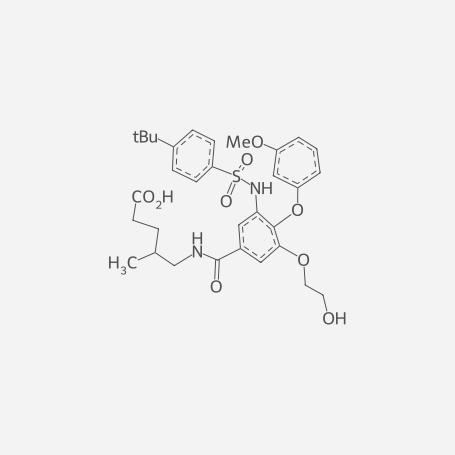 COc1cccc(Oc2c(NS(=O)(=O)c3ccc(C(C)(C)C)cc3)cc(C(=O)NCC(C)CCC(=O)O)cc2OCCO)c1